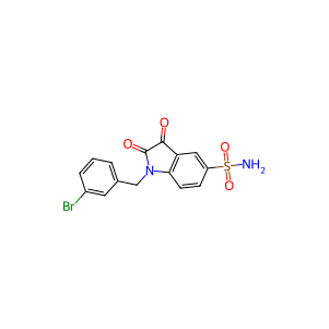 NS(=O)(=O)c1ccc2c(c1)C(=O)C(=O)N2Cc1cccc(Br)c1